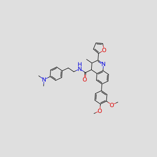 COc1ccc(-c2ccc3c(c2)C(C(=O)NCCc2ccc(N(C)C)cc2)C(C)C(c2ccco2)=N3)cc1OC